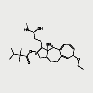 CCOC1C=CC=C2CC3(N)C(CCC2=C1)C[C@@H](OC(=O)C(C)(C)C(C)C)C3CCC(O)NC